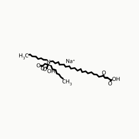 CCCCCCCCN(CCCCCCCCCCCCCCCCCCC(=O)C=CC(=O)O)[C@@](CCCCCCCC)(CC(=O)[O-])C(=O)O.[Na+]